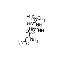 CN(C)C(=N)NC(=N)NOC(=O)C(N)CC(N)=O